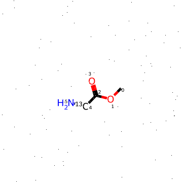 COC(=O)[13CH2]N